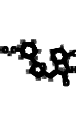 O=C1Nc2c(Cl)cccc2C1=Cc1ccc(-c2cccc(C(=O)O)c2)o1